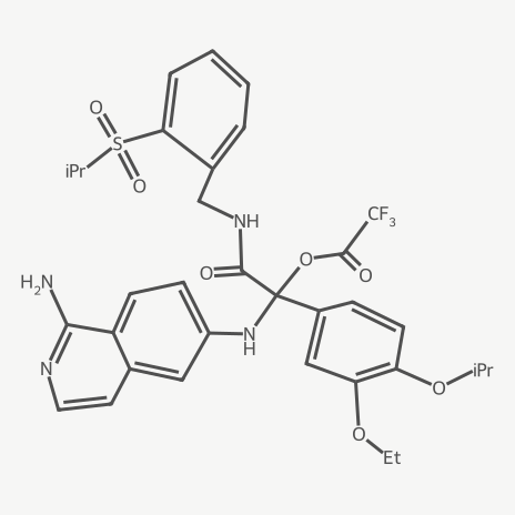 CCOc1cc(C(Nc2ccc3c(N)nccc3c2)(OC(=O)C(F)(F)F)C(=O)NCc2ccccc2S(=O)(=O)C(C)C)ccc1OC(C)C